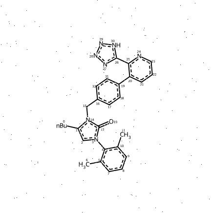 CCCCc1cn(-c2c(C)cccc2C)c(=O)n1Cc1ccc(-c2cccnc2-c2nnn[nH]2)cc1